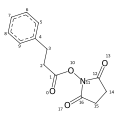 O=C(CCc1ccccc1)ON1C(=O)CCC1=O